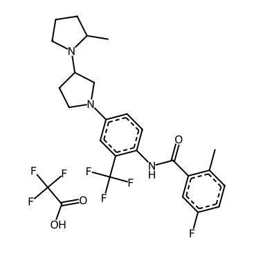 Cc1ccc(F)cc1C(=O)Nc1ccc(N2CCC(N3CCCC3C)C2)cc1C(F)(F)F.O=C(O)C(F)(F)F